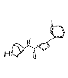 Cc1cccc(-c2ccn(C(=O)NC3CC4CC3CN4)c2)c1